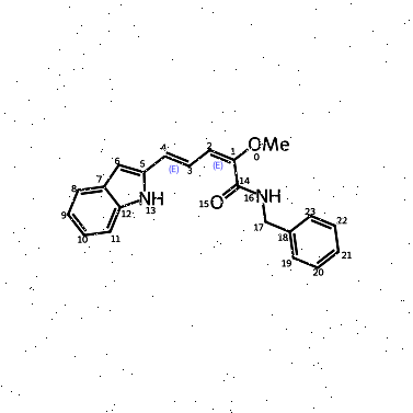 CO/C(=C/C=C/c1cc2ccccc2[nH]1)C(=O)NCc1ccccc1